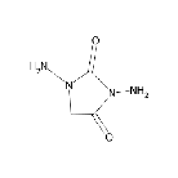 NN1CC(=O)N(N)C1=O